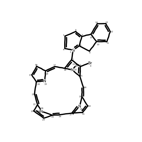 Brc1c(-[si]2cccc3c2Cc2ccccc2-3)c2cc3nc(cc4ccc(cc5nc(cc1n2Br)C=C5)[nH]4)C=C3